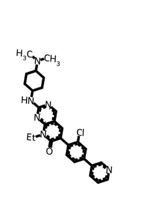 CCn1c(=O)c(-c2ccc(-c3cccnc3)cc2Cl)cc2cnc(NC3CCC(N(C)C)CC3)nc21